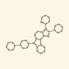 c1ccc(-c2ccc(-n3c4ccccc4c4c5nc(-c6ccccc6)n(-c6ccccn6)c5ccc43)cc2)cc1